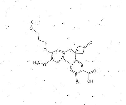 COCCCOc1cc2c(cc1OC)-c1cc(=O)c(C(=O)O)cn1C1(CC(=O)C1)C2